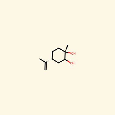 C=C(C)[C@@H]1CC[C@](C)(O)C(O)C1